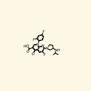 CC(C)NC1CCN(c2nc3c(cc2F)c(=O)c(C(=O)O)cn3-c2ccc(F)cc2F)C1